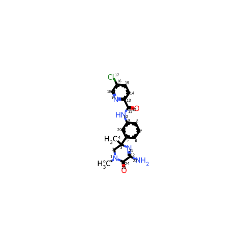 CN1CC(C)(c2cccc(NC(=O)c3ccc(Cl)cn3)c2)N=C(N)C1=O